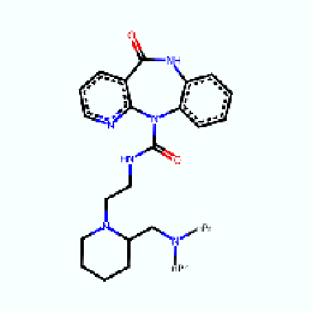 CCCN(CCC)CC1CCCCN1CCNC(=O)N1c2ccccc2NC(=O)c2cccnc21